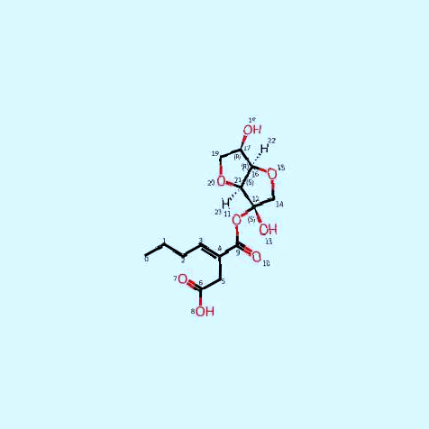 CCCC=C(CC(=O)O)C(=O)O[C@@]1(O)CO[C@@H]2[C@H](O)CO[C@@H]21